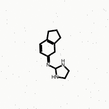 C1=C/C(=N/C2NCCN2)CC2=C1CCC2